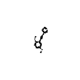 COc1ccc(OC)c(C#Cc2ccsc2)c1